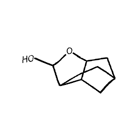 OC1OC2CC3CC1C2C3